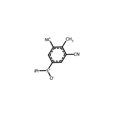 Cc1c(C#N)cc([S+]([O-])C(C)C)cc1C#N